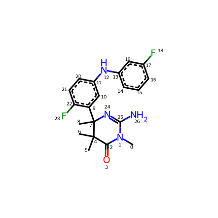 CN1C(=O)C(C)(C)C(C)(c2cc(Nc3cccc(F)c3)ccc2F)N=C1N